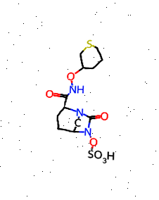 O=C(NOC1CCCSC1)[C@@H]1CCC2CN1C(=O)N2OS(=O)(=O)O